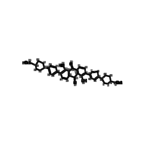 CCCCCCCCC1CCC(c2ccc(-c3ccc4c(c3O)C(=O)c3ccc(-c5ccc(C6CCC(CCCCCCCC)CC6)cc5)c(O)c3C4=O)cc2)CC1